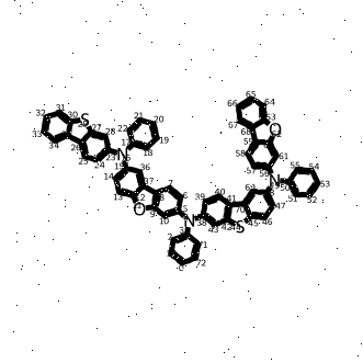 c1ccc(N(c2ccc3c(c2)oc2ccc(N(c4ccccc4)c4ccc5c(c4)sc4ccccc45)cc23)c2ccc3c(c2)sc2ccc(N(c4ccccc4)c4ccc5c(c4)oc4ccccc45)cc23)cc1